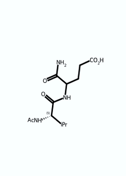 CC(=O)N[C@H](C(=O)NC(CCC(=O)O)C(N)=O)C(C)C